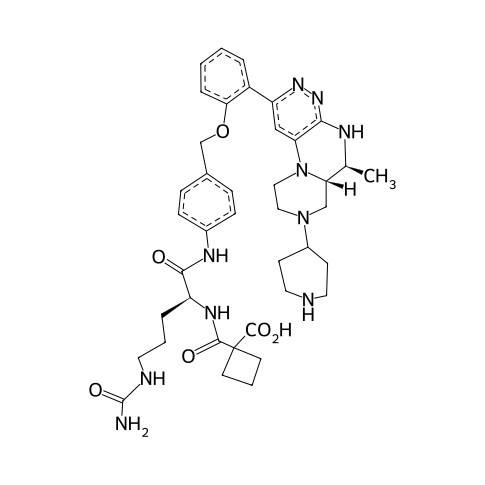 C[C@@H]1Nc2nnc(-c3ccccc3OCc3ccc(NC(=O)[C@H](CCCNC(N)=O)NC(=O)C4(C(=O)O)CCC4)cc3)cc2N2CCN(C3CCNCC3)C[C@@H]12